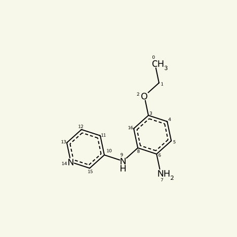 CCOc1ccc(N)c(Nc2cccnc2)c1